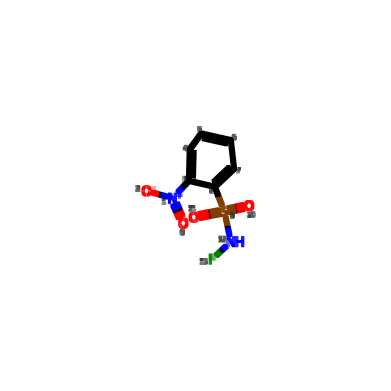 O=[N+]([O-])c1ccccc1S(=O)(=O)NF